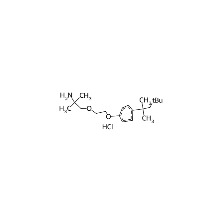 CC(C)(C)CC(C)(C)c1ccc(OCCOCC(C)(C)N)cc1.Cl